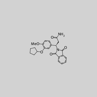 COc1ccc([C@@H](CC(N)=O)N2C(=O)c3ccccc3C2=O)cc1OC1CCCC1